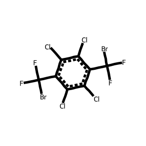 FC(F)(Br)c1c(Cl)c(Cl)c(C(F)(F)Br)c(Cl)c1Cl